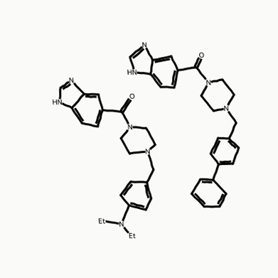 CCN(CC)c1ccc(CN2CCN(C(=O)c3ccc4[nH]cnc4c3)CC2)cc1.O=C(c1ccc2[nH]cnc2c1)N1CCN(Cc2ccc(-c3ccccc3)cc2)CC1